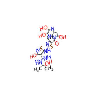 Cc1nc(Nc2snc(O)c2C(=N)NC(C)C(C)O)sc1C(=O)n1c(O)cc2nc(O)c(O)nc21